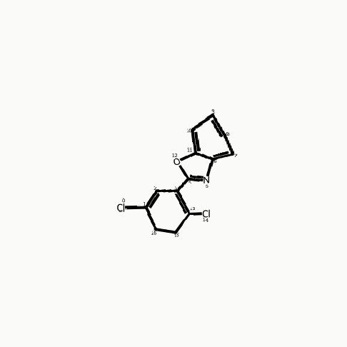 ClC1=CC(c2nc3ccccc3o2)=C(Cl)CC1